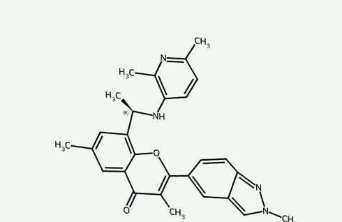 Cc1cc([C@@H](C)Nc2ccc(C)nc2C)c2oc(-c3ccc4nn(C)cc4c3)c(C)c(=O)c2c1